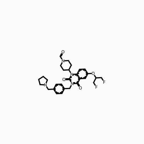 O=CN1CCC(n2c(=O)n(Cc3ccc(CN4CCCC4)cc3)c(=O)c3cc(OC(CF)CF)ccc32)CC1